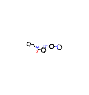 O=C(NCCC1CCCC1)c1cccc(Nc2ccc(N3C=CC=CC3)cc2)c1